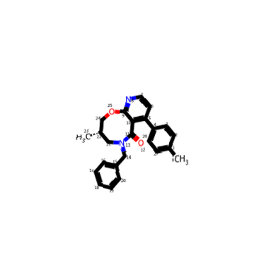 Cc1ccc(-c2ccnc3c2C(=O)N(Cc2ccccc2)C[C@H](C)CO3)cc1